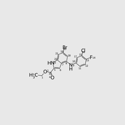 CCOC(=O)c1cc2c(Nc3ccc(F)c(Cl)c3)cc(Br)cc2[nH]1